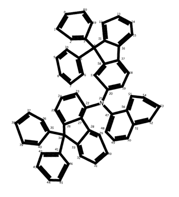 c1ccc(C2(c3ccccc3)c3ccccc3-c3ccc(N(c4cccc5c4-c4ccccc4C5(c4ccccc4)c4ccccc4)c4cccc5ccccc45)cc32)cc1